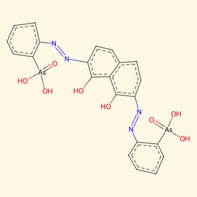 O=[As](O)(O)c1ccccc1N=Nc1ccc2ccc(N=Nc3ccccc3[As](=O)(O)O)c(O)c2c1O